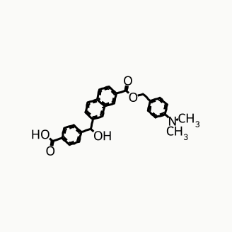 CN(C)c1ccc(COC(=O)c2ccc3ccc(C(O)c4ccc(C(=O)O)cc4)cc3c2)cc1